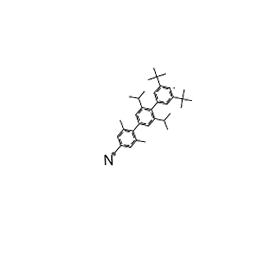 Cc1cc(C#N)cc(C)c1-c1cc(C(C)C)c(-c2cc(C(C)(C)C)[c]c(C(C)(C)C)c2)c(C(C)C)c1